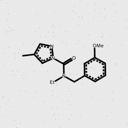 CCN(Cc1cccc(OC)c1)C(=O)n1cc(C)cn1